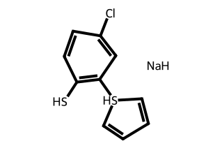 Sc1ccc(Cl)cc1[SH]1C=CC=C1.[NaH]